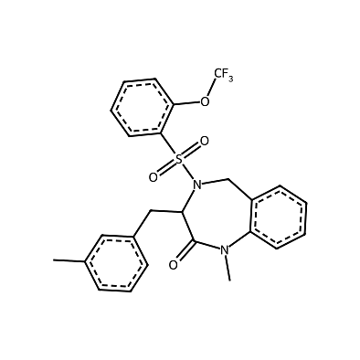 Cc1cccc(CC2C(=O)N(C)c3ccccc3CN2S(=O)(=O)c2ccccc2OC(F)(F)F)c1